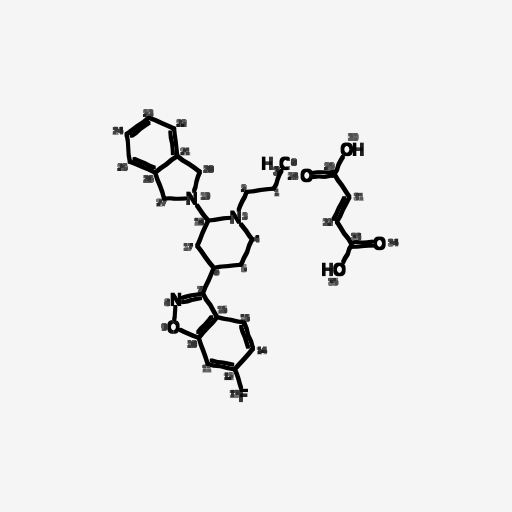 CCCN1CCC(c2noc3cc(F)ccc23)CC1N1Cc2ccccc2C1.O=C(O)/C=C/C(=O)O